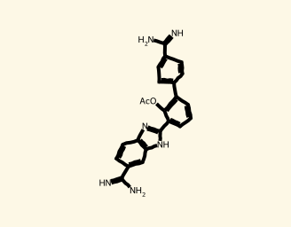 CC(=O)Oc1c(-c2ccc(C(=N)N)cc2)cccc1-c1nc2ccc(C(=N)N)cc2[nH]1